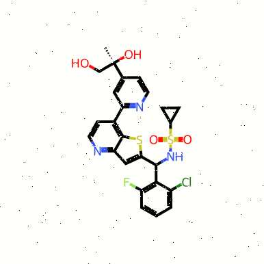 C[C@@](O)(CO)c1ccnc(-c2ccnc3cc(C(NS(=O)(=O)C4CC4)c4c(F)cccc4Cl)sc23)c1